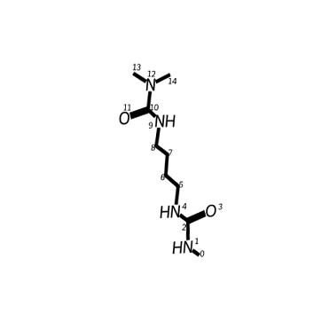 CNC(=O)NCCCCNC(=O)N(C)C